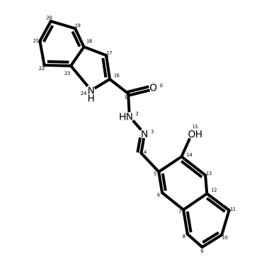 O=C(NN=Cc1cc2ccccc2cc1O)c1cc2ccccc2[nH]1